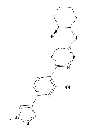 CN(c1ccc(-c2ccc(-c3cnn(C)c3)cc2O)nn1)[C@H]1CCCC[C@@H]1F